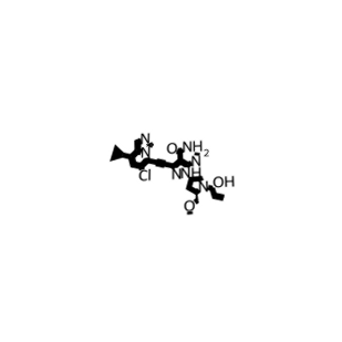 C=CC(O)N1C[C@@H](n2nc(C#Cc3c(Cl)cc(C4CC4)c4cncn34)c(C(N)=O)c2NC)C[C@@H]1COC